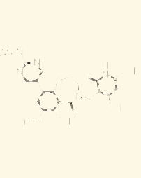 CNc1ncc(-c2cc(OC(C)C)c(C)c3c2OCCN(Cc2c(C)cc(C)[nH]c2=O)C3=O)cn1